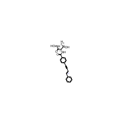 C[C@@H](O)[C@H](NC(=O)c1ccc(C#C/C=C/c2ccccc2)cc1)C(=O)NO